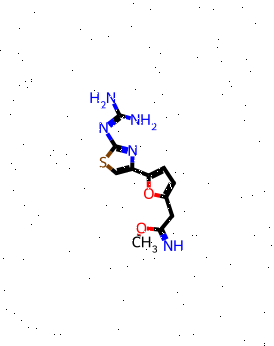 COC(=N)Cc1ccc(-c2csc(N=C(N)N)n2)o1